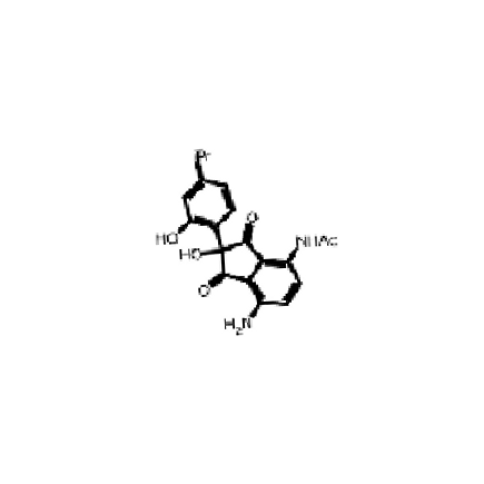 CC(=O)Nc1ccc(N)c2c1C(=O)C(O)(c1ccc(C(C)C)cc1O)C2=O